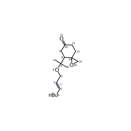 CCCC/C=C/COC(C)(C)C1CC(=O)CCC12CO2